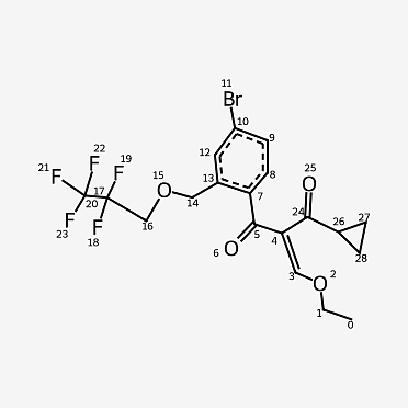 CCOC=C(C(=O)c1ccc(Br)cc1COCC(F)(F)C(F)(F)F)C(=O)C1CC1